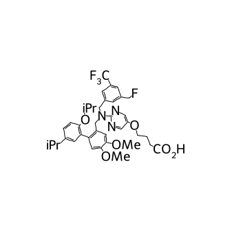 COc1cc(CN(Cc2cc(CF)cc(C(F)(F)F)c2)c2ncc(OCCCC(=O)O)cn2)c(-c2cc(C(C)C)ccc2OC(C)C)cc1OC